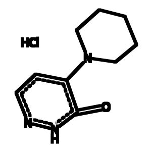 Cl.O=c1[nH]nccc1N1CCCCC1